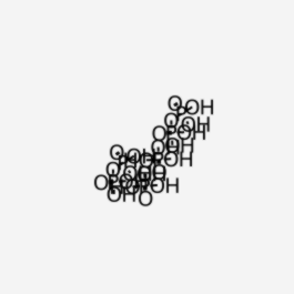 O=P(O)(O)O.O=P(O)(O)O.O=P(O)(O)OP(=O)(O)O.O=P(O)(O)OP(=O)(O)O